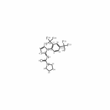 O=C(/N=c1\sccn1-c1ccc(C(F)(F)F)cc1C(F)(F)F)N1CCCC1